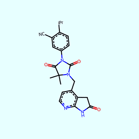 CC(C)c1ccc(N2C(=O)N(Cc3ccnc4c3CC(=O)N4)C(C)(C)C2=O)cc1C#N